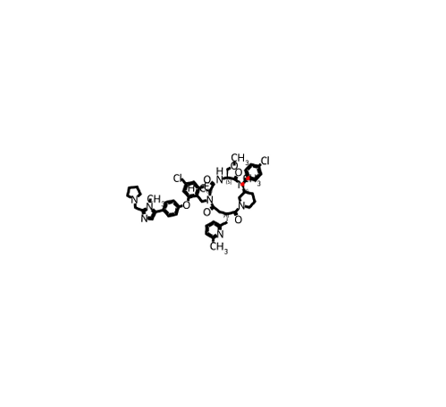 COC[C@@H]1NC(=O)[C@H](C)N(Cc2c(F)cc(Cl)cc2Oc2ccc(-c3cnc(CN4CCCC4)n3C)cc2)C(=O)C[C@@H](Cc2cccc(C)n2)C(=O)N2CCC[C@@](Cc3ccc(Cl)cc3)(C2)N(C)C1=O